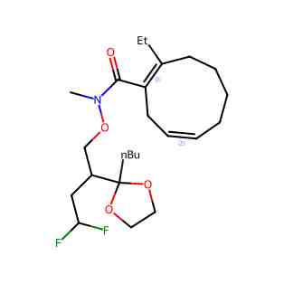 CCCCC1(C(CON(C)C(=O)/C2=C(\CC)CCCC/C=C\C2)CC(F)F)OCCO1